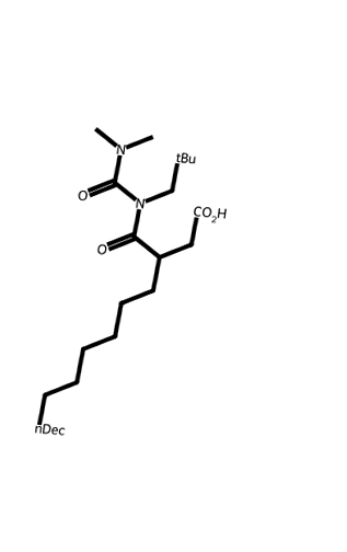 CCCCCCCCCCCCCCCCC(CC(=O)O)C(=O)N(CC(C)(C)C)C(=O)N(C)C